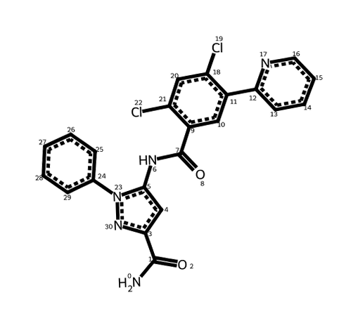 NC(=O)c1cc(NC(=O)c2cc(-c3ccccn3)c(Cl)cc2Cl)n(-c2ccccc2)n1